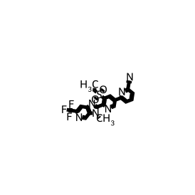 CCS(=O)(=O)c1cc(-c2cccc(C#N)n2)cnc1-c1nc2cc(C(F)(F)F)ncc2n1C